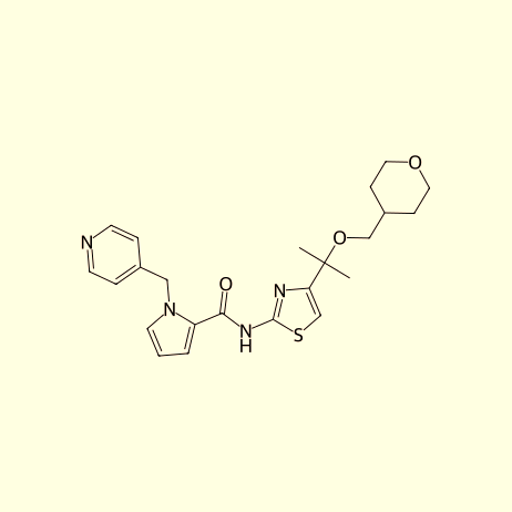 CC(C)(OCC1CCOCC1)c1csc(NC(=O)c2cccn2Cc2ccncc2)n1